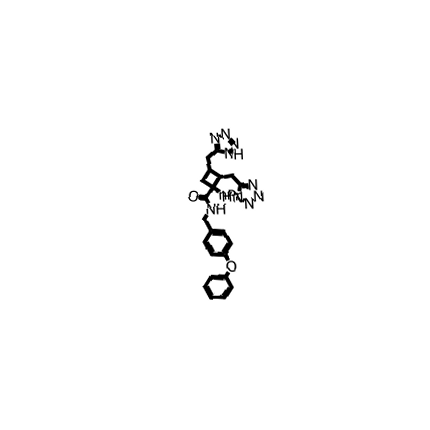 CCCC1(C(=O)NCc2ccc(Oc3ccccc3)cc2)CC(Cc2nnn[nH]2)C1Cc1nnn[nH]1